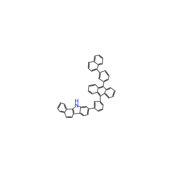 c1cc(-c2ccc3c(c2)[nH]c2c4ccccc4ccc32)cc(-c2c3ccccc3c(-c3cccc(-c4cccc5ccccc45)c3)c3ccccc23)c1